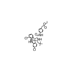 CCOC(=O)Cc1ccc(NC(=O)[C@@H]2N[C@@H](CC(C)(C)C)C3(C(=O)Nc4cc(Cl)ccc43)[C@H]2c2cccc(Cl)c2F)cc1